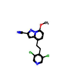 COc1ccc(CCc2c(Cl)cncc2Cl)c2cc(C#N)nn12